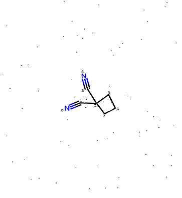 N#CC1(C#N)CCC1